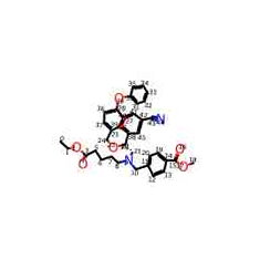 CCOC(=O)CCCCN(Cc1ccc(C(=O)OC)cc1)C[C@H](OCc1ccc(Oc2ccccc2)cc1)c1cccc(C#N)c1